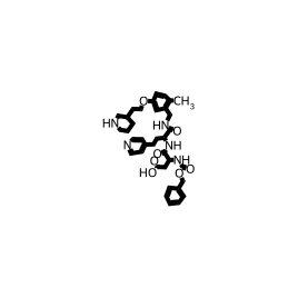 Cc1ccc(OCCC2CCCNC2)cc1CNC(=O)C(CCc1ccncc1)NC(=O)C(CC(=O)O)NC(=O)OCc1ccccc1